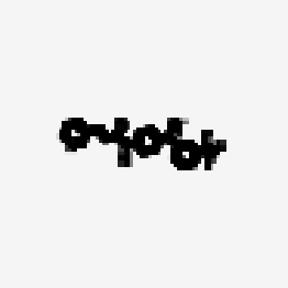 O=C(/C=C/c1cccnc1)Nc1ccc([S+]([O-])c2cccc(C(F)(F)F)c2)cc1